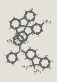 CC(C)(C)c1ccc2c(c1)C1(c3cc(C(C)(C)C)ccc3-2)c2ccccc2-c2cccc(-c3ccc(N(c4ccccc4)c4ccc5c(c4)C(C)(C)c4ccccc4-5)cc3)c21